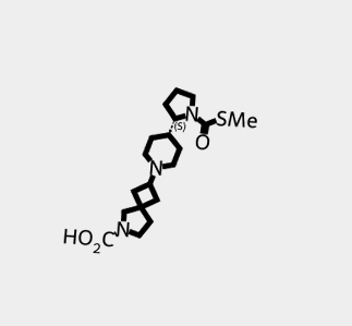 CSC(=O)N1CCC[C@H]1C1CCN(C2CC3(CCN(C(=O)O)C3)C2)CC1